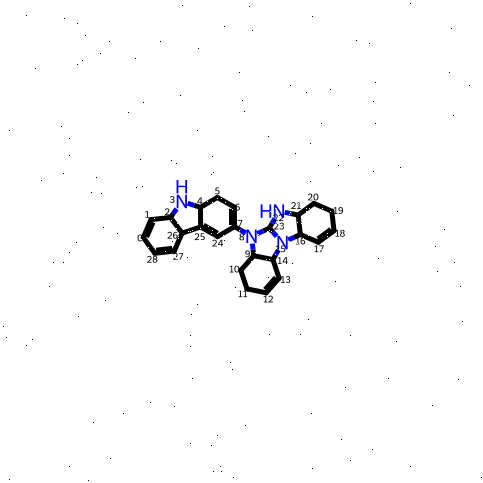 C1=CC2NC3CC=C(N4C5CCC=CC5N5C6C=CCCC6NC45)C=C3C2C=C1